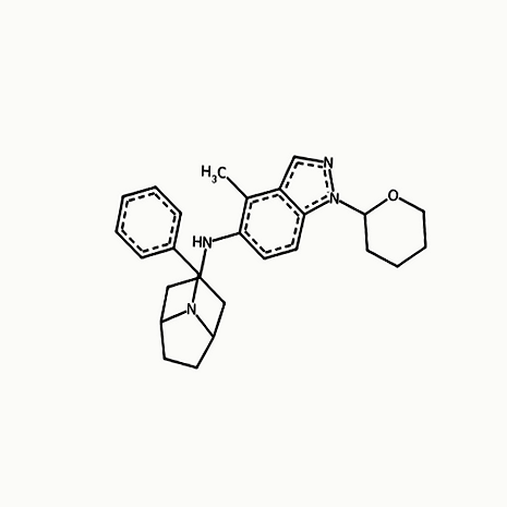 Cc1c(NC2CC3CCC(C2)N3Cc2ccccc2)ccc2c1cnn2C1CCCCO1